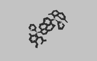 C=Cc1ccc(C)c(N(c2ccccn2)c2ccc3ccc4c(N(c5ccccn5)c5c(C)ccc6ccc(C)cc56)ccc5ccc2c3c54)c1C=C(C)C